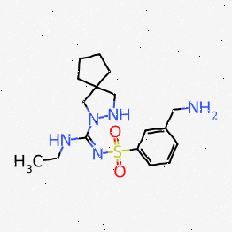 CCN/C(=N/S(=O)(=O)c1cccc(CN)c1)N1CC2(CCCC2)CN1